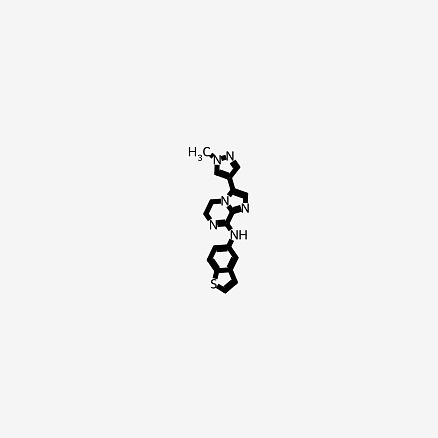 Cn1cc(-c2cnc3n2CCN=C3Nc2ccc3sccc3c2)cn1